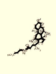 C[C@H](CCC(=O)NCCCC(=O)O)[C@H]1CC[C@H]2[C@@H]3[C@H](O)C[C@@H]4C[C@H](O)CC[C@]4(C)[C@H]3C[C@H](O)[C@]12C